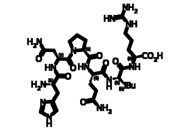 CC[C@H](C)[C@H](NC(=O)[C@H](CCC(N)=O)NC(=O)[C@@H]1CCCN1C(=O)[C@H](CC(N)=O)NC(=O)[C@@H](N)Cc1c[nH]cn1)C(=O)N[C@@H](CCCNC(=N)N)C(=O)O